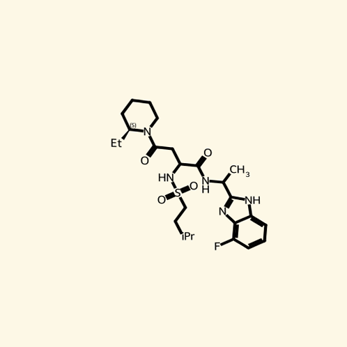 CC[C@H]1CCCCN1C(=O)CC(NS(=O)(=O)CCC(C)C)C(=O)NC(C)c1nc2c(F)cccc2[nH]1